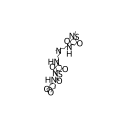 Cc1nc2c(s1)C(=O)C=C(NCCCN(C)CCCNC1=CC(=O)c3sc(C(=O)Nc4ccc5c(c4)OCO5)nc3C1=O)C2=O